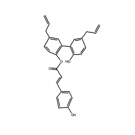 C=CCc1ccc(O)c(-c2cc(CC=C)ccc2OC(=O)/C=C/c2ccc(O)cc2)c1